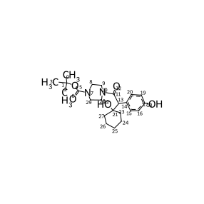 CC(C)(C)OC(=O)N1CCN(C(=O)C(c2ccc(O)cc2)C2(O)CCCCC2)CC1